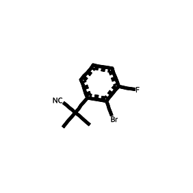 CC(C)(C#N)c1cccc(F)c1Br